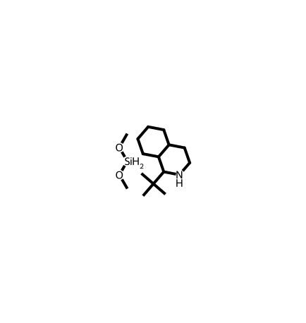 CC(C)(C)C1NCCC2CCCCC21.CO[SiH2]OC